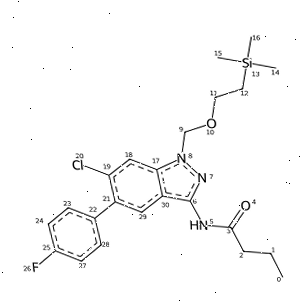 CCCC(=O)Nc1nn(COCC[Si](C)(C)C)c2cc(Cl)c(-c3ccc(F)cc3)cc12